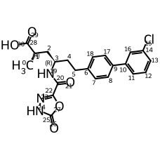 C[C@H](C[C@@H](CCc1ccc(-c2cccc(Cl)c2)cc1)NC(=O)c1n[nH]c(=O)o1)C(=O)O